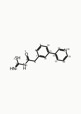 N=C(S)NC(=O)Cc1cccc(-c2cccnc2)c1